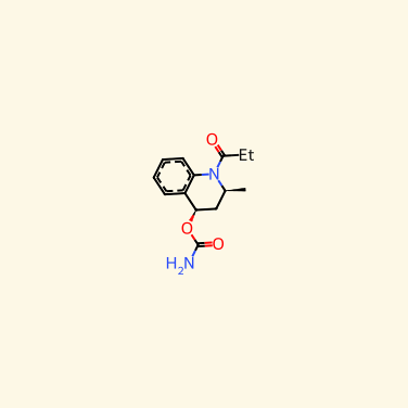 CCC(=O)N1c2ccccc2[C@H](OC(N)=O)C[C@@H]1C